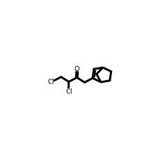 O=C(CC1=CC2CCC1C2)C(Cl)CCl